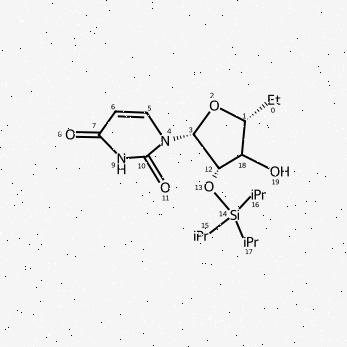 CC[C@H]1O[C@@H](n2ccc(=O)[nH]c2=O)[C@@H](O[Si](C(C)C)(C(C)C)C(C)C)C1O